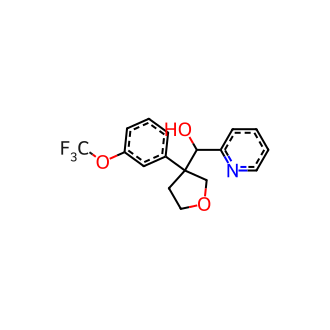 OC(c1ccccn1)C1(c2cccc(OC(F)(F)F)c2)CCOC1